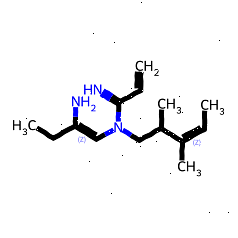 C=CC(=N)N(/C=C(\N)CC)CC(C)/C(C)=C\C